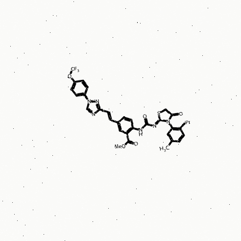 COC(=O)c1cc(/C=C/c2ncn(-c3ccc(OC(F)(F)F)cc3)n2)ccc1NC(=O)/N=C1\SCC(=O)N1c1cc(C)ccc1C(C)C